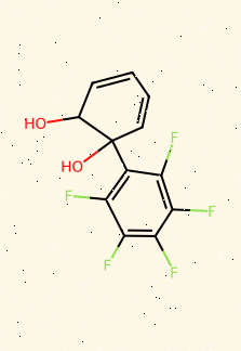 OC1C=CC=CC1(O)c1c(F)c(F)c(F)c(F)c1F